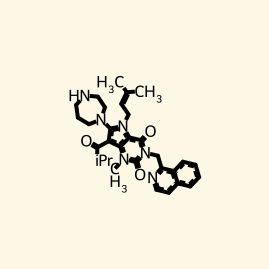 CC(C)=CCn1c(N2CCCNCC2)c(C(=O)C(C)C)c2c1c(=O)n(Cc1nccc3ccccc13)c(=O)n2C